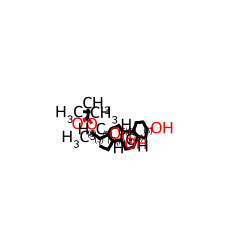 C[C@H](OC(=O)C(C)(C)C)[C@H]1CC[C@]2(O)[C@@H]3CC[C@H]4C[C@@H](O)CC[C@]4(CO)[C@H]3CC[C@]12C